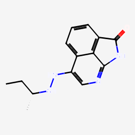 CC[C@@H](C)NNc1cnc2c3c(cccc13)C(=O)N2